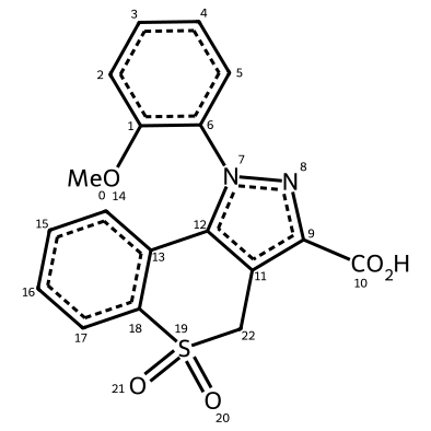 COc1ccccc1-n1nc(C(=O)O)c2c1-c1ccccc1S(=O)(=O)C2